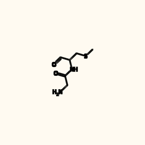 CSCC(C=O)NC(=O)CN